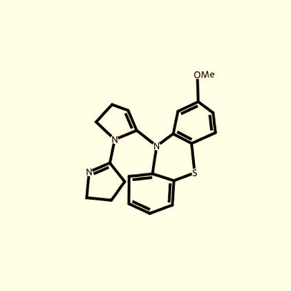 COc1ccc2c(c1)N(C1=CCCN1C1=NCCC1)c1ccccc1S2